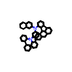 C1=Cc2ccc(N(c3ccc4c5ccccc5n(-c5ccccc5-c5ccccc5)c4c3)c3cccc4c3-c3c5ccccc5cc5cccc-4c35)cc2CC1